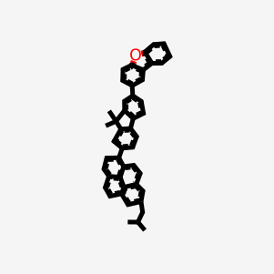 CC(C)Cc1cc2ccc3ccc(-c4ccc5c(c4)C(C)(C)c4cc(-c6ccc7oc8ccccc8c7c6)ccc4-5)c4ccc(c1)c2c34